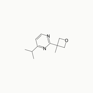 CC(C)c1ccnc(C2(C)COC2)n1